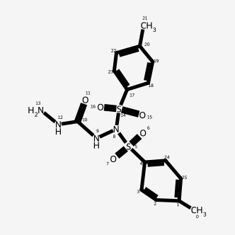 Cc1ccc(S(=O)(=O)N(NC(=O)NN)S(=O)(=O)c2ccc(C)cc2)cc1